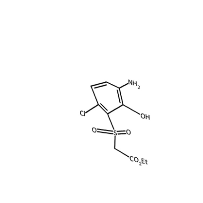 CCOC(=O)CS(=O)(=O)c1c(Cl)ccc(N)c1O